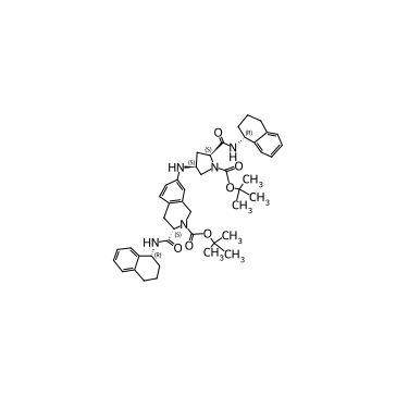 CC(C)(C)OC(=O)N1Cc2cc(N[C@H]3C[C@@H](C(=O)N[C@@H]4CCCc5ccccc54)N(C(=O)OC(C)(C)C)C3)ccc2C[C@H]1C(=O)N[C@@H]1CCCc2ccccc21